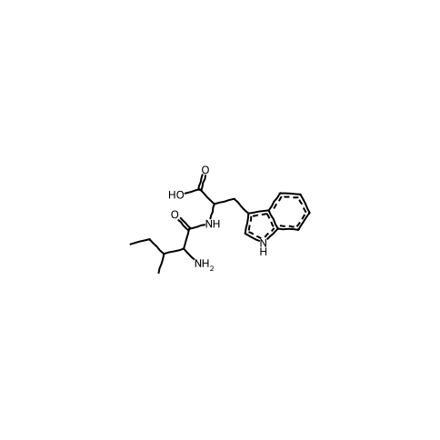 CCC(C)C(N)C(=O)NC(Cc1c[nH]c2ccccc12)C(=O)O